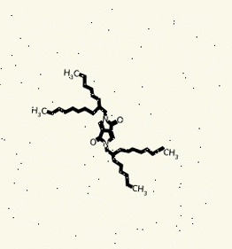 CCCCCCCCC(CCCCCC)CN1C=C2C(=O)N(CC(CCCCCC)CCCCCCCC)C=C2C1=O